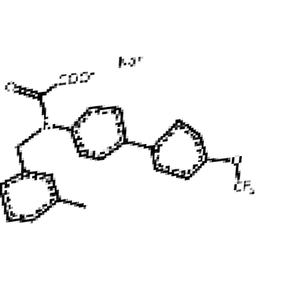 Cc1cccc(CN(C(=O)C(=O)[O-])c2ccc(-c3ccc(OC(F)(F)F)cc3)cc2)c1.[Na+]